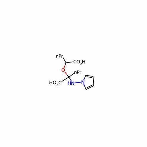 CCCC(OC(CCC)(Nn1cccc1)C(=O)O)C(=O)O